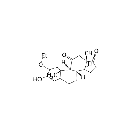 CCOC1C[C@@]2(C)C(CC[C@@H]3[C@H]2C(=O)C[C@]2(C)C(=O)CC[C@@H]32)CC1O